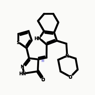 O=C1NN=C(c2cccs2)/C1=C\c1[nH]c2c(c1CN1CCOCC1)CCCC2